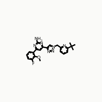 COc1c(F)cccc1-c1cc(-c2cn(Cc3cccc(C(C)(C)C)n3)nn2)nc(N)n1